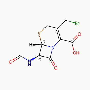 O=CN[C@@H]1C(=O)N2C(C(=O)O)=C(CBr)CS[C@@H]12